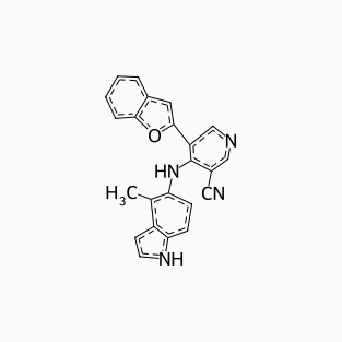 Cc1c(Nc2c(C#N)cncc2-c2cc3ccccc3o2)ccc2[nH]ccc12